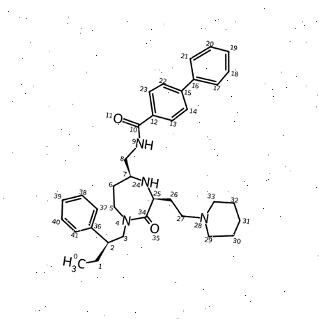 CC[C@H](CN1CC[C@@H](CNC(=O)c2ccc(-c3ccccc3)cc2)N[C@@H](CCN2CCCCC2)C1=O)c1ccccc1